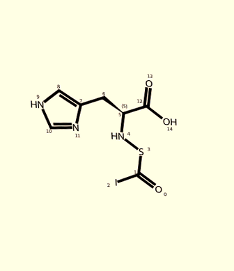 O=C(I)SN[C@@H](Cc1c[nH]cn1)C(=O)O